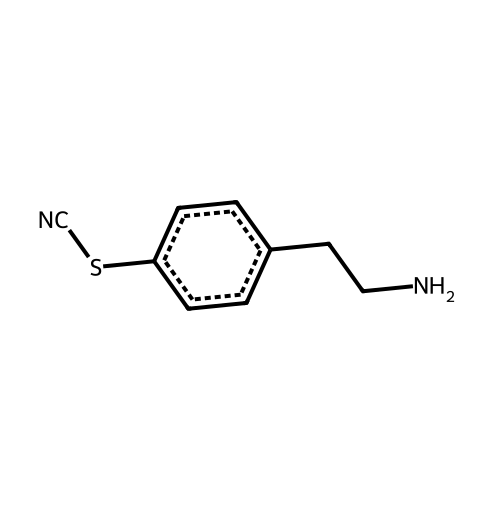 N#CSc1ccc(CCN)cc1